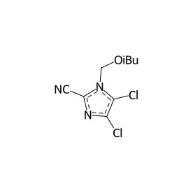 CC(C)COCn1c(C#N)nc(Cl)c1Cl